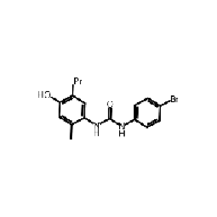 Cc1cc(O)c(C(C)C)cc1NC(=O)Nc1ccc(Br)cc1